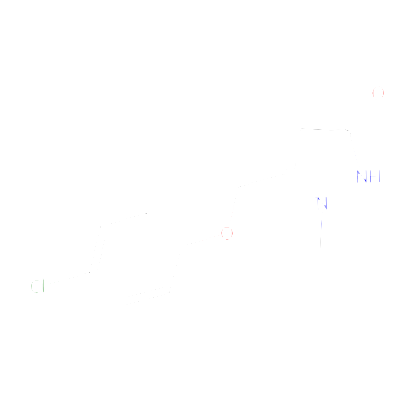 Cc1cc(OCc2cc(=O)[nH]n2C)c(C)cc1Cl